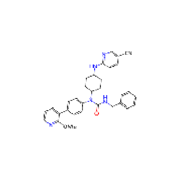 COc1ncccc1-c1ccc(N(C(=O)NCc2ccccc2)C2CCC(Nc3ccc(C#N)cn3)CC2)cc1